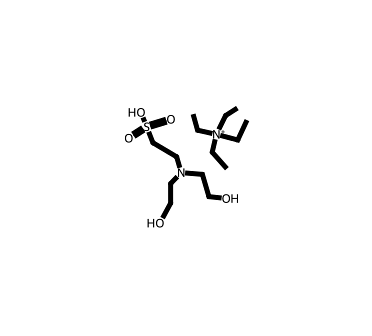 CC[N+](CC)(CC)CC.O=S(=O)(O)CCN(CCO)CCO